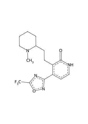 CN1CCCCC1CCc1c(-c2noc(C(F)(F)F)n2)cc[nH]c1=O